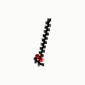 C=CC(C=C)OC(=O)CCCCCCCCCCCCCCCCC